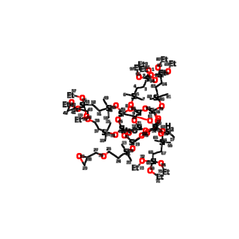 CCO[Si](CC[Si](C)(C)O[Si]12O[Si]3(OC)O[Si]4(O[SiH2]C)O[Si]5(O[Si](C)(C)CCOCC6CO6)O[Si](O[Si](C)(C)CCOCC6CO6)(O3)O[Si](O[Si](C)(C)CC[Si](OCC)(OCC)OCC)(O1)O[Si](O[Si](C)(C)CC[Si](OCC)(OCC)OCC)(O5)O[Si](O[Si](C)(C)CC[Si](OCC)(OCC)OCC)(O4)O2)(OCC)OCC